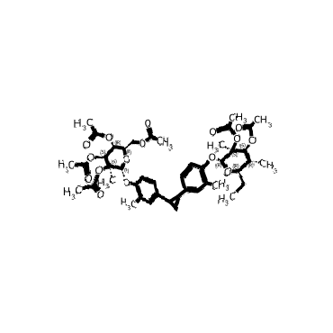 CC[C@H]1O[C@H](Oc2ccc(C3CC3c3ccc(O[C@H]4O[C@H](COC(C)=O)[C@@H](OC(C)=O)[C@H](OC(C)=O)[C@]4(C)OC(C)=O)c(C)c3)cc2C)[C@@](C)(OC(C)=O)[C@@H](OC(C)=O)[C@@H]1C